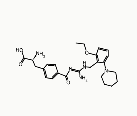 CCOc1cccc(N2CCCCC2)c1CN/C(N)=N/C(=O)c1ccc(C[C@H](N)C(=O)O)cc1